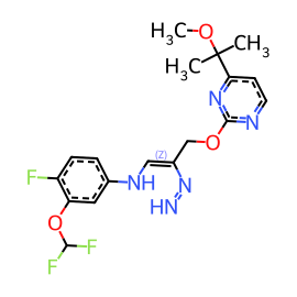 COC(C)(C)c1ccnc(OC/C(=C/Nc2ccc(F)c(OC(F)F)c2)N=N)n1